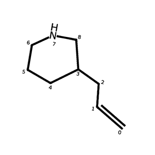 C=CCC1CCCNC1